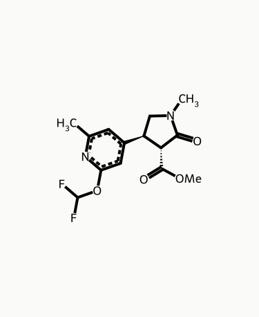 COC(=O)[C@H]1C(=O)N(C)C[C@@H]1c1cc(C)nc(OC(F)F)c1